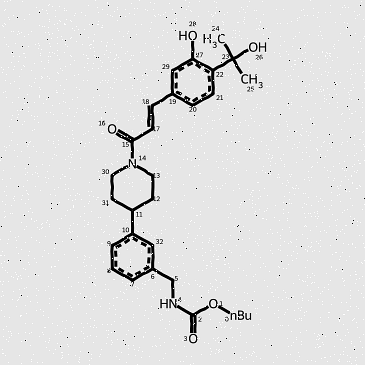 CCCCOC(=O)NCc1cccc(C2CCN(C(=O)C=Cc3ccc(C(C)(C)O)c(O)c3)CC2)c1